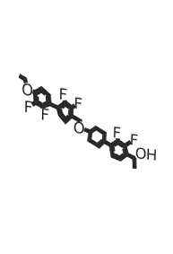 CCOc1ccc(-c2ccc(COC3CC=C(c4ccc(C(C)O)c(F)c4F)CC3)c(F)c2F)c(F)c1F